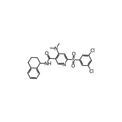 CN(C)c1cc(S(=O)(=O)c2cc(Cl)cc(Cl)c2)ncc1C(=O)NC1CCCc2ccccc21